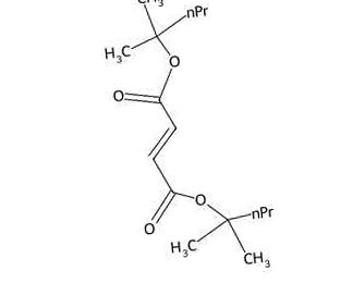 CCCC(C)(C)OC(=O)C=CC(=O)OC(C)(C)CCC